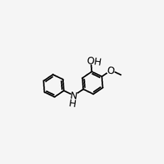 COc1ccc(Nc2ccccc2)cc1O